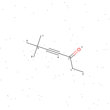 CCC(=O)C#CC(C)(C)C